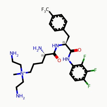 C[N+](CCN)(CCN)CCC[C@H](N)C(=O)N[C@@H](Cc1ccc(C(F)(F)F)cc1)C(=O)Nc1ccc(F)c(F)c1F